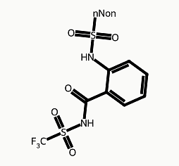 CCCCCCCCCS(=O)(=O)Nc1ccccc1C(=O)NS(=O)(=O)C(F)(F)F